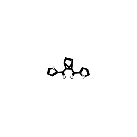 O=C(c1cccs1)C1C2C=CC(C2)C1C(=O)c1cccs1